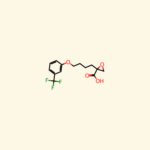 O=C(O)C1(CCCCOc2cccc(C(F)(F)F)c2)CO1